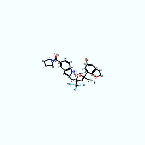 CC(C)(CC(O)(Cc1cc2cc(C(=O)N3CCCC3)ccc2[nH]1)C(F)(F)F)c1cc(Br)cc2c1OCC2